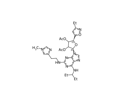 CCc1cc([C@H]2O[C@@H](n3cnc4c(NC(CC)CC)nc(NCCc5cn(C)cn5)nc43)C(OC(C)=O)C2OC(C)=O)on1